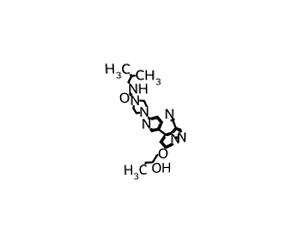 CCC(O)COc1cc(-c2ccc(N3CCN(C(=O)NCC(C)C)CC3)nc2)c2c(C#N)cnn2c1